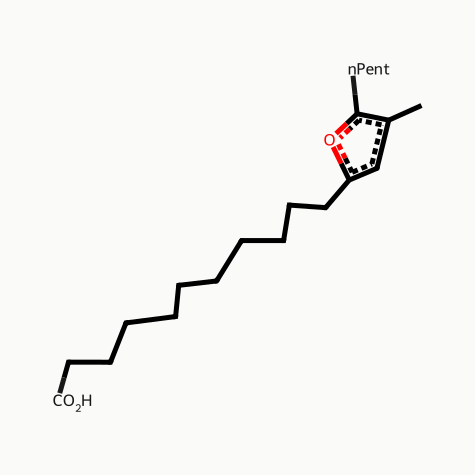 CCCCCc1oc(CCCCCCCCCCC(=O)O)cc1C